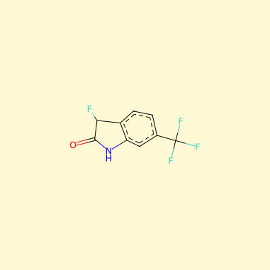 O=C1Nc2cc(C(F)(F)F)ccc2C1F